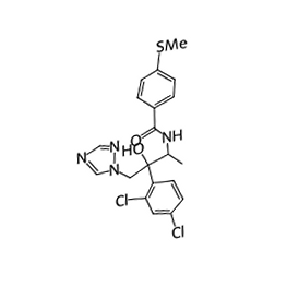 CSc1ccc(C(=O)NC(C)C(O)(Cn2cncn2)c2ccc(Cl)cc2Cl)cc1